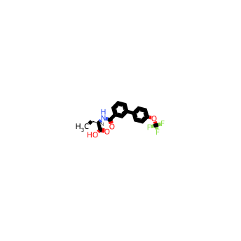 CC[C@H](NC(=O)c1cccc(-c2ccc(OC(F)(F)F)cc2)c1)C(=O)O